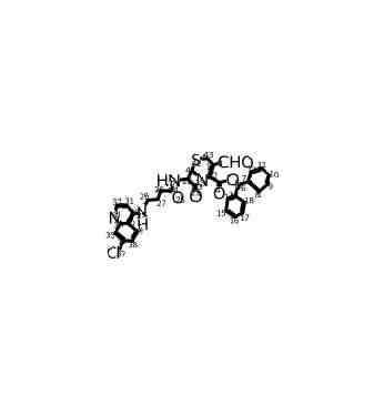 O=CC1=C(C(=O)OC(c2ccccc2)c2ccccc2)N2C(=O)C(NC(=O)CCCNc3ccnc4cc(Cl)ccc34)C2SC1